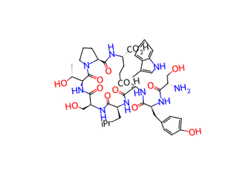 CC(C)C[C@H](NC(=O)[C@H](Cc1c[nH]c2ccccc12)NC(=O)[C@H](Cc1ccc(O)cc1)NC(=O)[C@@H](N)CO)C(=O)N[C@@H](CO)C(=O)N[C@H](C(=O)N1CCC[C@H]1C(=O)N[C@@H](CCC(=O)O)C(=O)O)[C@@H](C)O